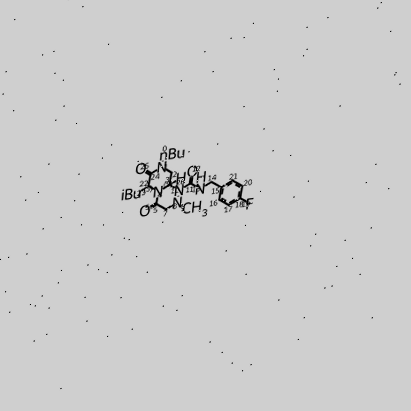 CCCCN1C[C@H]2N(C(=O)CN(C)N2C(=O)NCc2ccc(F)cc2)[C@@H](C(C)CC)C1=O